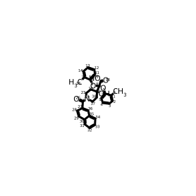 Cc1ccccc1OC(Oc1ccccc1C)(C(=O)O)C1(O)CCN(C(=O)c2ccc3ccccc3c2)CC1